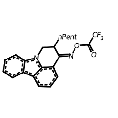 CCCCCC1Cn2c3ccccc3c3cccc(c32)/C1=N/OC(=O)C(F)(F)F